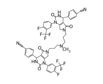 CN(CCCN1CC2=C(C1=O)C(c1ccc(C#N)cc1)NC(=O)N2c1ccc(F)c(C(F)(F)F)c1)CCCN1CC2=C(C1=O)C(c1ccc(C#N)cc1)NC(=O)N2c1ccc(F)c(C(F)(F)F)c1